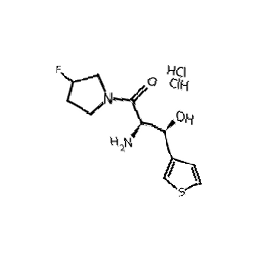 Cl.Cl.N[C@@H](C(=O)N1CCC(F)C1)[C@@H](O)c1ccsc1